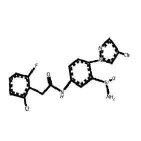 N#Cc1cnn(-c2ccc(NC(=O)Cc3c(F)cccc3Cl)cc2[S+](N)[O-])c1